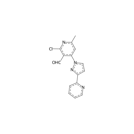 Cc1cc(-n2ccc(-c3ccccn3)n2)c(C=O)c(Cl)n1